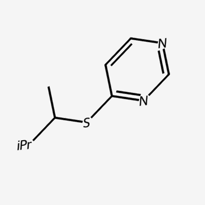 CC(C)C(C)Sc1ccncn1